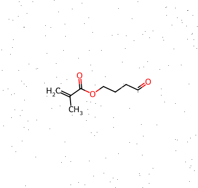 C=C(C)C(=O)OCCC[C]=O